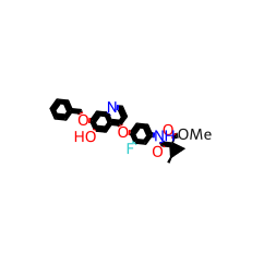 COC(=O)[C@@]1(C(=O)NC2=CC=C(Oc3ccnc4cc(OCc5ccccc5)c(O)cc34)C(F)C2)C[C@H]1C